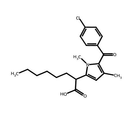 CCCCCCC(C(=O)O)c1cc(C)c(C(=O)c2ccc(Cl)cc2)n1C